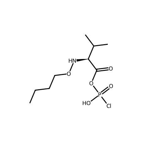 CCCCON[C@H](C(=O)OP(=O)(O)Cl)C(C)C